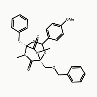 COc1ccc(C2S[C@@]3(COCc4ccccc4)C(=O)N(C)[C@@](Cc4ccccc4)(S2)C(=O)N3C)cc1